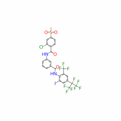 CS(=O)(=O)c1ccc(C(=O)Nc2cccc(C(=O)Nc3c(I)cc(C(F)(C(F)(F)F)C(F)(F)F)cc3C(F)(F)F)c2)c(Cl)c1